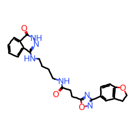 O=C(CCc1nc(-c2ccc3c(c2)CCO3)no1)NCCCCNc1n[nH]c(=O)c2ccccc12